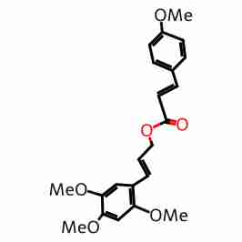 COc1ccc(/C=C/C(=O)OC/C=C/c2cc(OC)c(OC)cc2OC)cc1